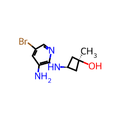 C[C@]1(O)C[C@@H](Nc2ncc(Br)cc2N)C1